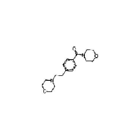 O=C(c1ccc(CCN2CCOCC2)cc1)N1CCOCC1